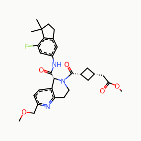 COCc1ccc2c(n1)CCN(C(=O)[C@H]1C[C@@H](CC(=O)OC)C1)[C@H]2C(=O)Nc1cc(F)c2c(c1)CCC2(C)C